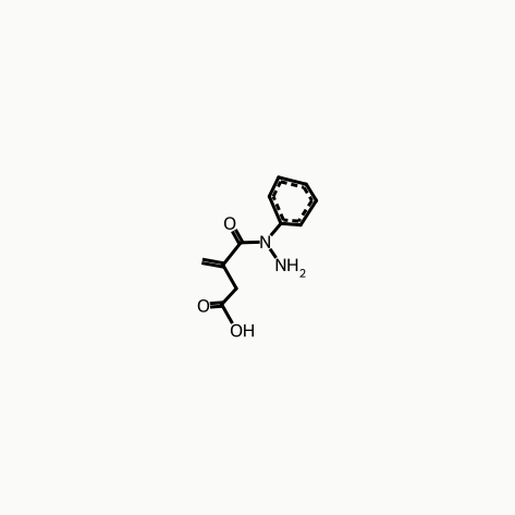 C=C(CC(=O)O)C(=O)N(N)c1ccccc1